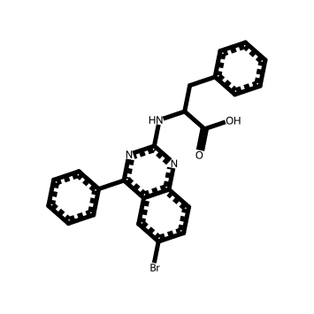 O=C(O)C(Cc1ccccc1)Nc1nc(-c2ccccc2)c2cc(Br)ccc2n1